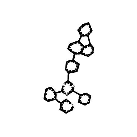 c1ccc(-c2nc(-c3ccc(-c4ccc5c6c(cccc46)-c4ccccc4-5)cc3)nc(-c3ccccc3-c3cccnc3)n2)cc1